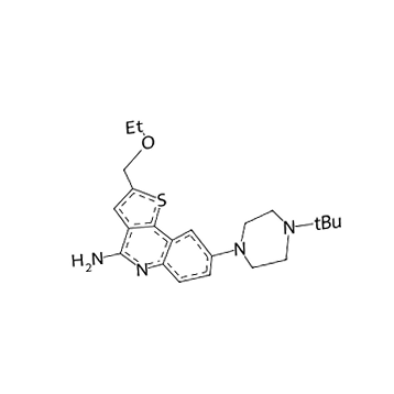 CCOCc1cc2c(N)nc3ccc(N4CCN(C(C)(C)C)CC4)cc3c2s1